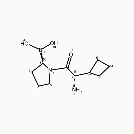 N[C@H](C(=O)N1CCC[C@H]1B(O)O)C1CCC1